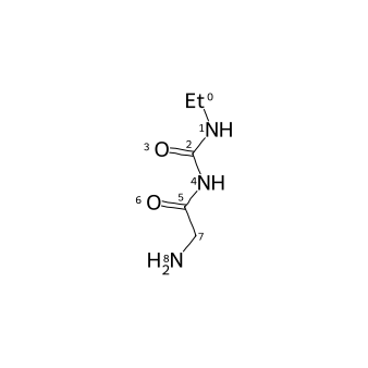 CCNC(=O)NC(=O)CN